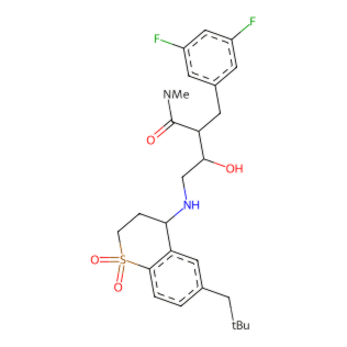 CNC(=O)C(Cc1cc(F)cc(F)c1)C(O)CNC1CCS(=O)(=O)c2ccc(CC(C)(C)C)cc21